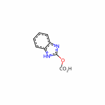 O=C(O)Oc1nc2ccccc2[nH]1